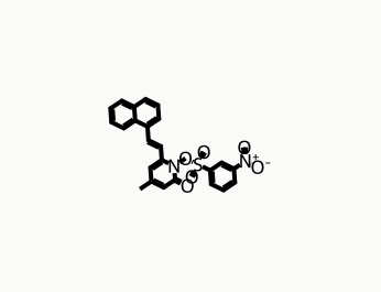 Cc1cc(C=Cc2cccc3ccccc23)n(OS(=O)(=O)c2cccc([N+](=O)[O-])c2)c(=O)c1